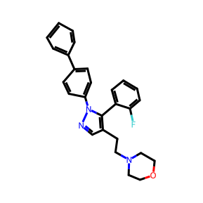 Fc1ccccc1-c1c(CCN2CCOCC2)cnn1-c1ccc(-c2ccccc2)cc1